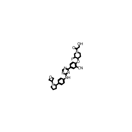 N#Cc1cc(-c2ncnc(Nc3ccc(C4CCCN4C4COC4)cc3)n2)ccc1OC1CCN(C(=O)CO)CC1F